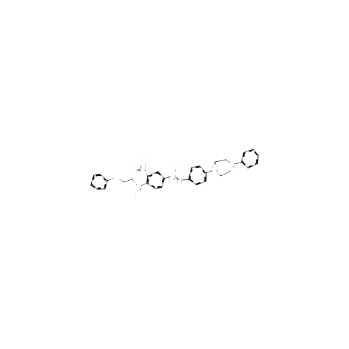 O=[N+]([O-])c1cc([S+]([O-])Nc2ccc(N3CCN(c4ccccc4)CC3)cc2)ccc1NCCSc1ccccc1